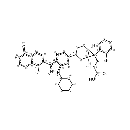 O=C(O)NC[C@]1(c2ccccc2F)[C@@H]2CCN(c3cnc4c(-c5ccc6c(=O)[nH]ccc6c5F)nn(C5CCCCO5)c4n3)C[C@@H]21